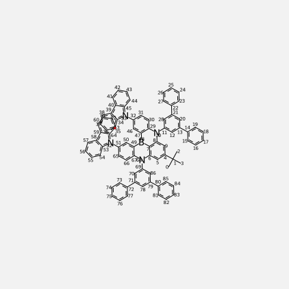 CC(C)(C)c1cc2c3c(c1)N(c1cc(-c4ccccc4)cc(-c4ccccc4)c1)c1ccc(-n4c5ccccc5c5ccccc54)cc1B3c1cc(-n3c4ccccc4c4ccccc43)ccc1N2c1cc(-c2ccccc2)cc(-c2ccccc2)c1